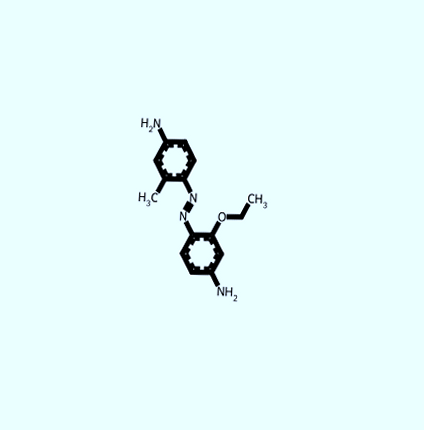 CCOc1cc(N)ccc1/N=N/c1ccc(N)cc1C